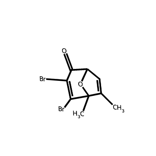 CC1=CC2OC1(C)C(Br)=C(Br)C2=O